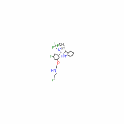 C[C@@H]1Cc2c([nH]c3ccccc23)C(c2cc(F)cc(OCCNCCCF)c2)N1CC(F)(F)F